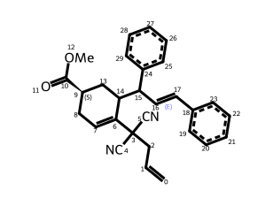 C=CCC(C#N)(C#N)C1=CC[C@@H](C(=O)OC)CC1C(/C=C/c1ccccc1)c1ccccc1